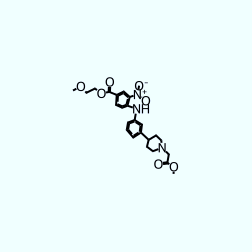 COCCOC(=O)c1ccc(Nc2cccc(C3CCN(CC(=O)OC)CC3)c2)c([N+](=O)[O-])c1